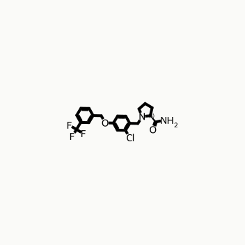 NC(=O)[C@@H]1CCCN1Cc1ccc(OCc2cccc(C(F)(F)F)c2)cc1Cl